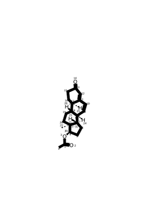 CC(=O)O[C@@H]1CC[C@H]2[C@@H]3C=CC4=CC(=O)CC[C@@H]4[C@H]3CC[C@]12C